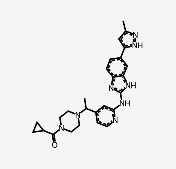 Cc1cc(-c2ccc3nc(Nc4cc(C(C)N5CCN(C(=O)C6CC6)CC5)ccn4)[nH]c3c2)[nH]n1